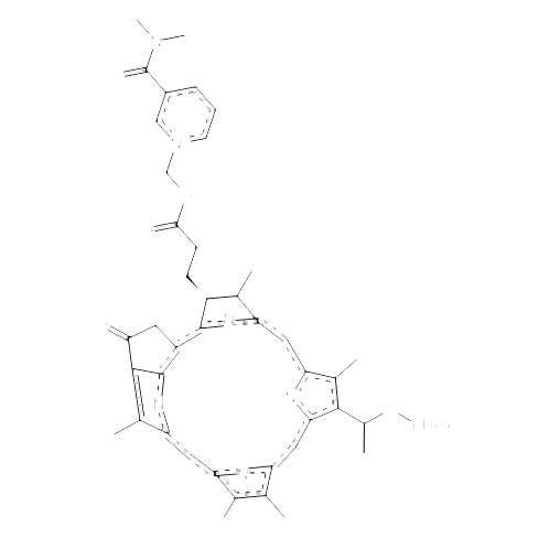 CCCCCCOC(C)c1c(C)c2cc3nc(c4c5nc(cc6[nH]c(cc1[nH]2)c(C)c6CC)C(C)=C5C(=O)C4)[C@@H](CCC(=O)OC[n+]1cccc(C(=O)N(C)C)c1)C3C